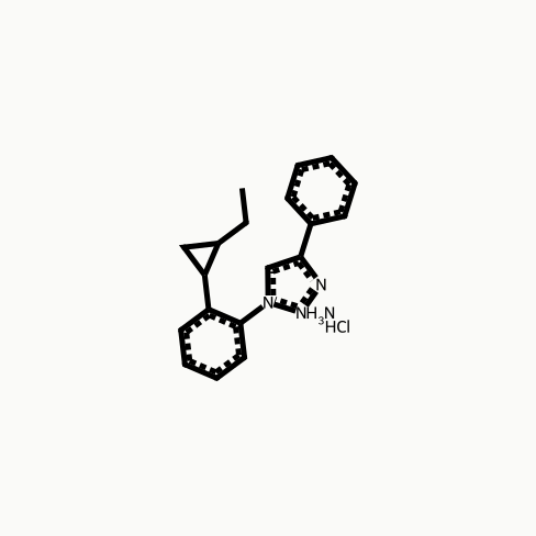 CCC1CC1c1ccccc1-n1cc(-c2ccccc2)nn1.Cl.N